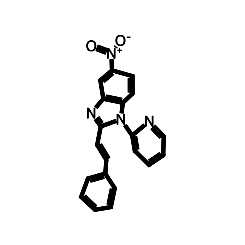 O=[N+]([O-])c1ccc2c(c1)nc(/C=C/c1ccccc1)n2-c1ccccn1